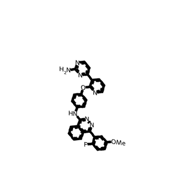 COc1ccc(F)c(-c2nnc(Nc3ccc(Oc4ncccc4-c4ccnc(N)n4)cc3)c3ccccc23)c1